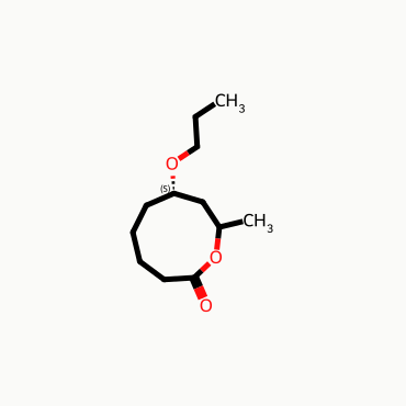 CCCO[C@H]1CCCCC(=O)OC(C)C1